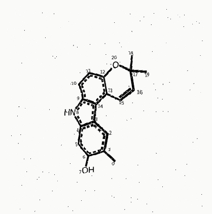 Cc1cc2c(cc1O)[nH]c1ccc3c(c12)C=CC(C)(C)O3